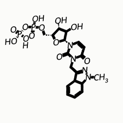 CN1N=C(Cn2c(=O)ccn([C@@H]3O[C@H](COP(=O)(O)OP(=O)(O)O)[C@H](O)C3O)c2=O)C2C=CC=CC21